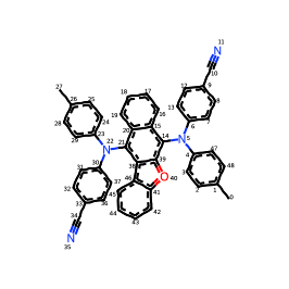 Cc1ccc(N(c2ccc(C#N)cc2)c2c3ccccc3c(N(c3ccc(C)cc3)c3ccc(C#N)cc3)c3c2oc2ccccc23)cc1